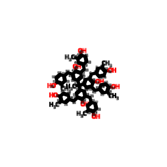 Cc1cc(Cc2cc(C(C)(c3cc(Cc4ccc(O)c(C)c4)c(O)c(Cc4ccc(O)c(C)c4)c3)c3cc(Cc4ccc(O)c(C)c4)c(O)c(Cc4ccc(O)c(C)c4)c3)cc(Cc3ccc(O)c(C)c3)c2O)ccc1O